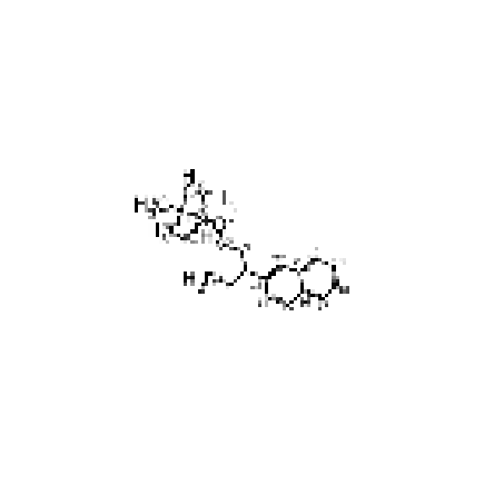 CC(C)(C)[Si](C)(C)OCCC(CN)c1ccc2ccccc2c1